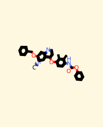 [C-]#[N+]c1cc2c(Oc3ccc(NC(=O)Oc4ccccc4)c(C)c3C)ccnc2cc1OCc1ccccc1